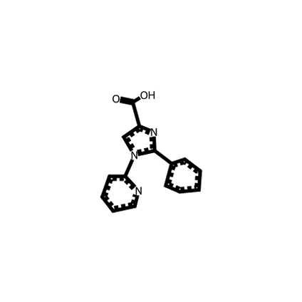 O=C(O)c1cn(-c2ccccn2)c(-c2ccccc2)n1